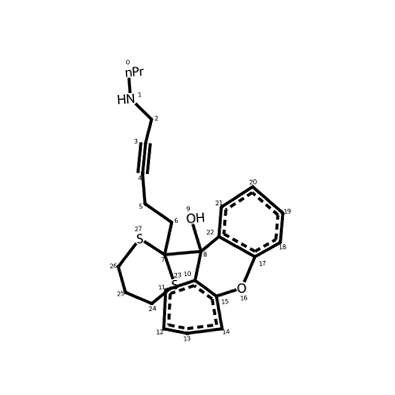 CCCNCC#CCCC1(C2(O)c3ccccc3Oc3ccccc32)SCCCS1